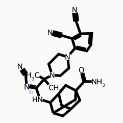 CC(C)(/C(=N\C#N)NC1C2CC3CC1CC(C(N)=O)(C3)C2)N1CCN(c2cccc(C#N)c2C#N)CC1